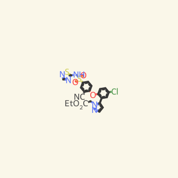 CCOC(=O)Cn1nccc1-c1cc(Cl)ccc1Oc1ccc(S(=O)(=O)Nc2ncns2)cc1C#N